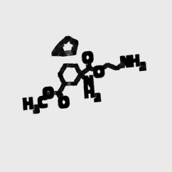 COC(=O)C1CCCC(N)(C(=O)OCCN)C1.c1cc2cc-2c1